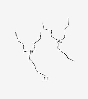 CCCC[As](CCCC)CCCC.CCCC[As](CCCC)CCCC.[Pd]